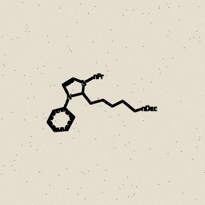 CCCCCCCCCCCCCCCC1N(CCC)C=CN1c1ccccc1